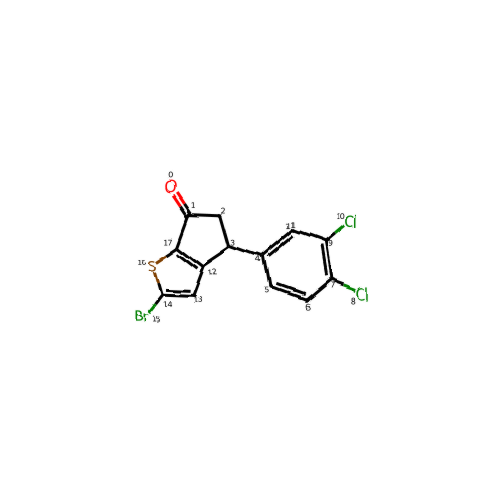 O=C1CC(c2ccc(Cl)c(Cl)c2)c2cc(Br)sc21